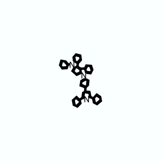 c1ccc(-c2cc(-c3ccc(-n4c5ccccc5c5c6c7ccccc7n(-c7ccccc7)c6ccc54)cc3)cc(-c3ccccc3)n2)cc1